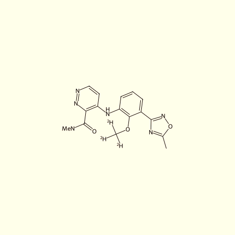 [2H]C([2H])([2H])Oc1c(Nc2ccnnc2C(=O)NC)cccc1-c1noc(C)n1